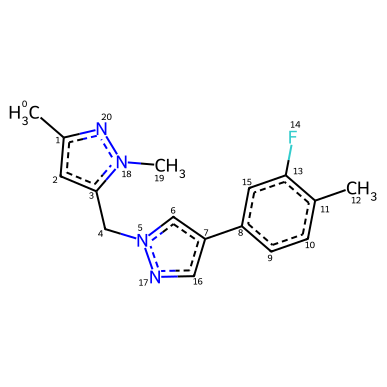 Cc1cc(Cn2cc(-c3ccc(C)c(F)c3)cn2)n(C)n1